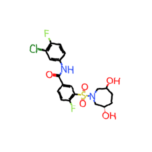 O=C(Nc1ccc(F)c(Cl)c1)c1ccc(F)c(S(=O)(=O)N2CC(O)CC[C@H](O)C2)c1